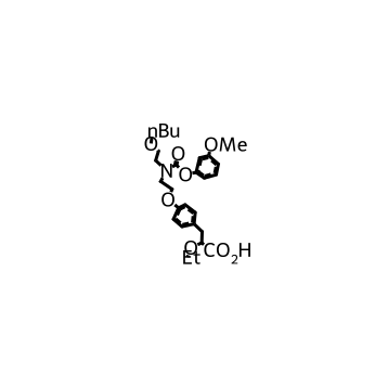 CCCCOCCN(CCOc1ccc(CC(OCC)C(=O)O)cc1)C(=O)Oc1cccc(OC)c1